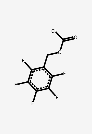 O=C(Cl)OCc1c(F)c(F)c(F)c(F)c1F